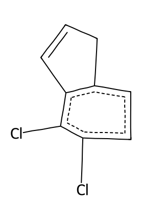 Clc1ccc2c(c1Cl)C=CC2